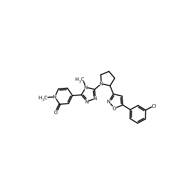 Cn1c(-c2ccn(C)c(=O)c2)nnc1N1CCCC1c1cc(-c2cccc(Cl)c2)on1